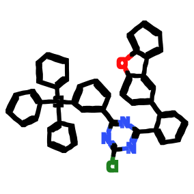 Clc1nc(-c2cccc([Si](c3ccccc3)(c3ccccc3)c3ccccc3)c2)nc(-c2ccccc2-c2ccc3oc4ccccc4c3c2)n1